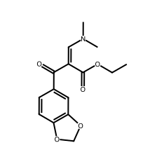 CCOC(=O)C(=CN(C)C)C(=O)c1ccc2c(c1)OCO2